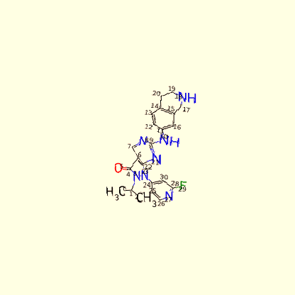 CC(C)n1c(=O)c2cnc(Nc3ccc4c(c3)CNCC4)nc2n1-c1ccnc(F)c1